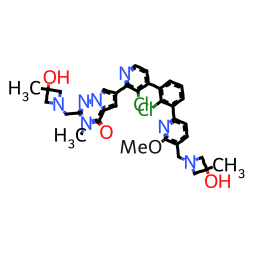 COc1nc(-c2cccc(-c3ccnc(-c4cc5c(=O)n(C)c(CN6CC(C)(O)C6)nn5c4)c3Cl)c2Cl)ccc1CN1CC(C)(O)C1